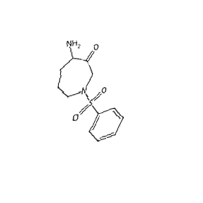 NC1CCCN(S(=O)(=O)c2ccccc2)CC1=O